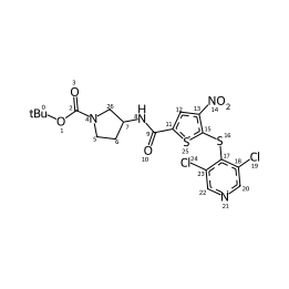 CC(C)(C)OC(=O)N1CCC(NC(=O)c2cc([N+](=O)[O-])c(Sc3c(Cl)cncc3Cl)s2)C1